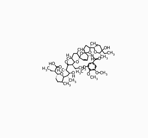 CC[C@@H](C(=O)[C@@H](C)[C@@H](O)[C@H](C)[C@@H]1O[C@@H]([C@@H](CC)C(=O)O)CC[C@@H]1C)[C@H]1O[C@]2(C=C[C@@H](NC(=O)c3cc(OC)c(OC)c(OC)c3)[C@]3(CC[C@@](C)([C@H]4CC[C@](O)(CC)[C@H](C)O4)O3)O2)[C@H](C)C[C@@H]1C